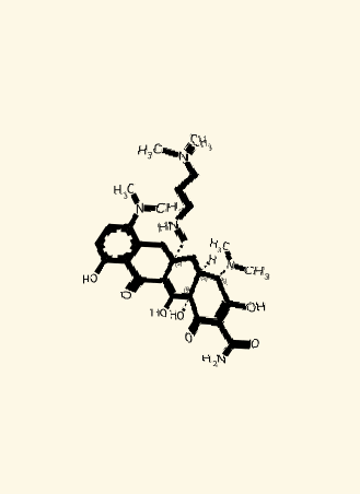 CN(C)CCCNC[C@@]12Cc3c(N(C)C)ccc(O)c3C(=O)C1=C(O)[C@]1(O)C(=O)C(C(N)=O)=C(O)[C@@H](N(C)C)[C@@H]1C2